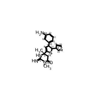 CN1C(=N)N[C@](C)(C2=CC(c3cccc(N)c3)C(C3C=CSC3)S2)CC1=O